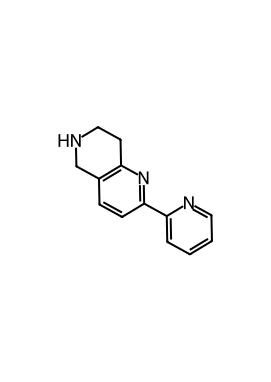 c1ccc(-c2ccc3c(n2)CCNC3)nc1